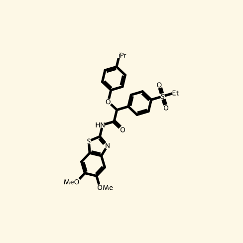 CCS(=O)(=O)c1ccc(C(Oc2ccc(C(C)C)cc2)C(=O)Nc2nc3cc(OC)c(OC)cc3s2)cc1